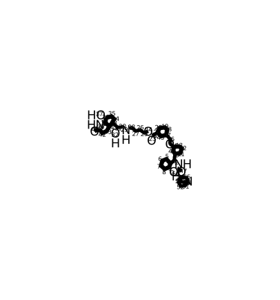 O=C(NC(c1ccccc1)c1cccc(OCc2cccc(C(=O)OCCCCNC[C@@H](O)c3ccc(O)c4[nH]c(=O)ccc34)c2)c1)O[C@H]1CN2CCC1CC2